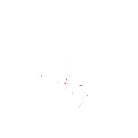 COC12CCC3(C[C@@H]1COCc1ccc(C(=O)O)cc1)[C@H]1Cc4ccc(C)c5c4[C@@]3(CCN1CC1CC1)[C@H]2O5